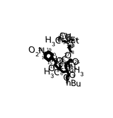 CCCCOC(=O)C(C)(CC(C)(C)C(=O)C(=O)c1ccc([N+](=O)[O-])cc1)CC(C)(CC)C(=O)OCCOP(=O)(CC)CN(C)C